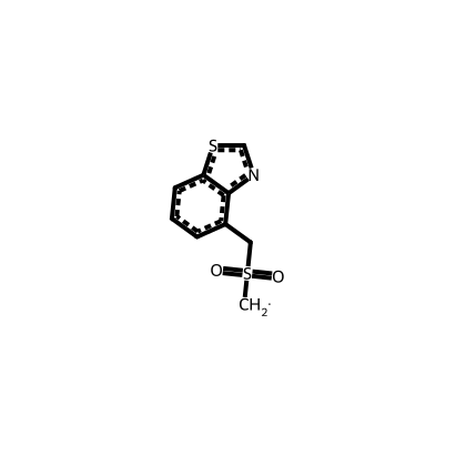 [CH2]S(=O)(=O)Cc1cccc2scnc12